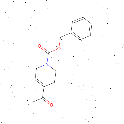 CC(=O)C1=CCN(C(=O)OCc2ccccc2)CC1